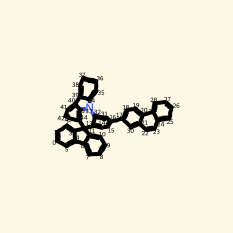 c1ccc2c(c1)-c1ccccc1C21c2ccc(-c3ccc4c(ccc5ccccc54)c3)cc2-n2c3ccccc3c3cccc1c32